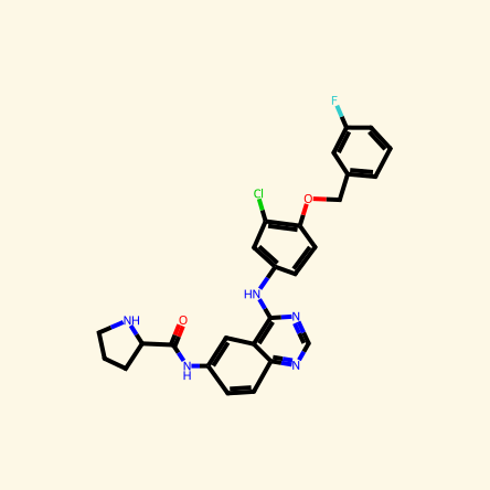 O=C(Nc1ccc2ncnc(Nc3ccc(OCc4cccc(F)c4)c(Cl)c3)c2c1)C1CCCN1